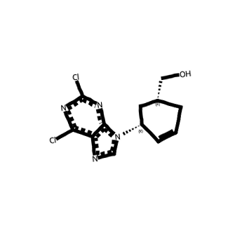 OC[C@@H]1CC=C[C@H](n2cnc3c(Cl)nc(Cl)nc32)C1